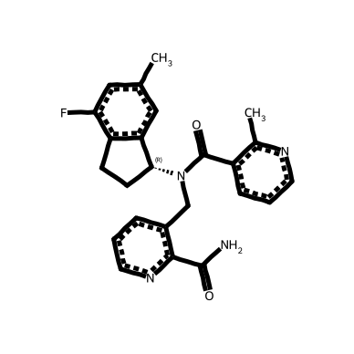 Cc1cc(F)c2c(c1)[C@H](N(Cc1cccnc1C(N)=O)C(=O)c1cccnc1C)CC2